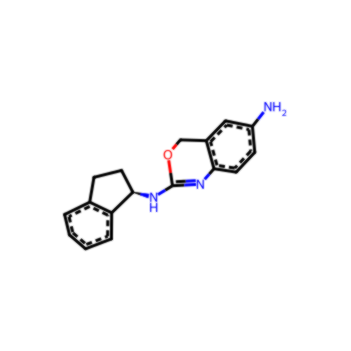 Nc1ccc2c(c1)COC(N[C@@H]1CCc3ccccc31)=N2